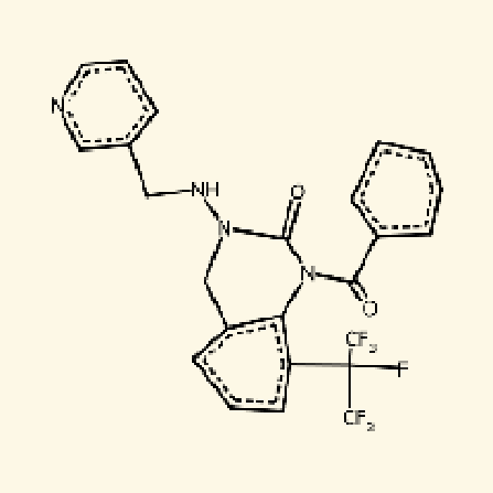 O=C(c1ccccc1)N1C(=O)N(NCc2cccnc2)Cc2cccc(C(F)(C(F)(F)F)C(F)(F)F)c21